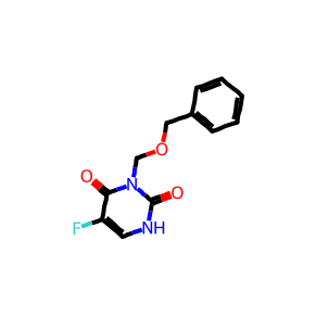 O=c1[nH]cc(F)c(=O)n1COCc1ccccc1